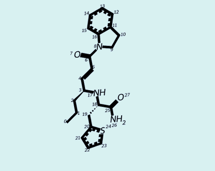 CCC[C@@H](/C=C/C(=O)N1CCc2ccccc21)N[C@@H](Cc1cccs1)C(N)=O